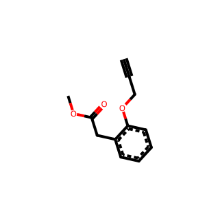 C#CCOc1ccccc1CC(=O)OC